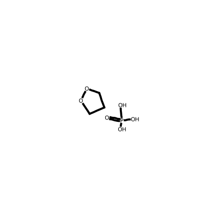 C1COOC1.O=P(O)(O)O